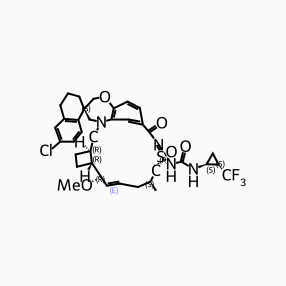 CO[C@H]1/C=C/C[C@H](C)C[S@@](=O)(NC(=O)N[C@H]2C[C@@H]2C(F)(F)F)=NC(=O)c2ccc3c(c2)N(C[C@@H]2CC[C@H]21)C[C@@]1(CCCc2cc(Cl)ccc21)CO3